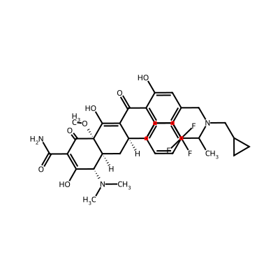 CO[C@@]12C(=O)C(C(N)=O)=C(O)[C@@H](N(C)C)[C@@H]1C[C@@H]1Cc3c(c(O)cc(CN(CC4CC4)C(C)c4ccccc4)c3C(F)(F)F)C(=O)C1=C2O